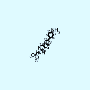 COC(CNc1ncc2c(n1)sc1nc(-c3ccc(N)cc3)cn12)OC